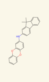 CC1(C)c2ccccc2-c2ccc(Nc3ccc4c(c3)Oc3ccccc3O4)cc21